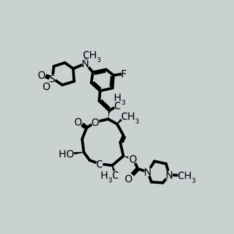 C/C(=C\c1cc(F)cc(N(C)C2CCS(=O)(=O)CC2)c1)[C@H]1OC(=O)C[C@H](O)CC[C@H](C)[C@@H](OC(=O)N2CCN(C)CC2)/C=C/[C@@H]1C